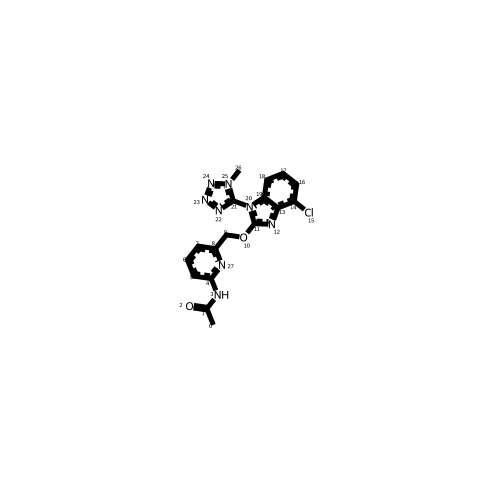 CC(=O)Nc1cccc(COc2nc3c(Cl)cccc3n2-c2nnnn2C)n1